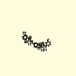 C=C1CCC[C@H](NC(=O)NS(=O)(=O)c2ccc(CCNC(=O)c3cc(Cl)ccc3OC)cc2)C1